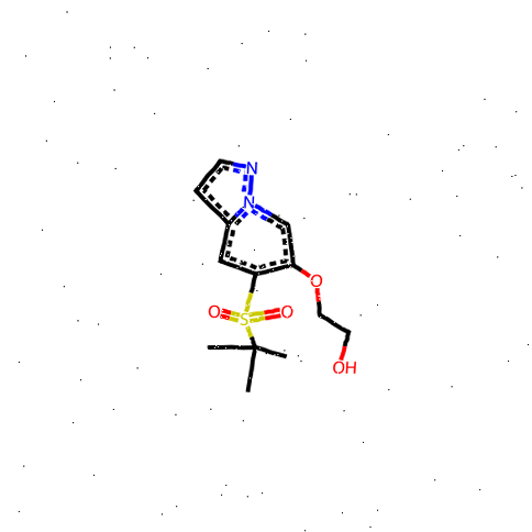 CC(C)(C)S(=O)(=O)c1cc2ccnn2cc1OCCO